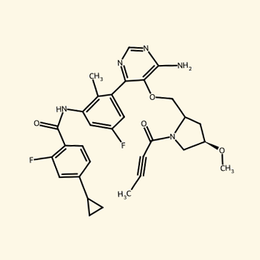 CC#CC(=O)N1C[C@H](OC)CC1COc1c(N)ncnc1-c1cc(F)cc(NC(=O)c2ccc(C3CC3)cc2F)c1C